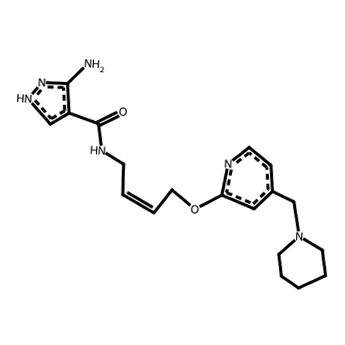 Nc1n[nH]cc1C(=O)NC/C=C\COc1cc(CN2CCCCC2)ccn1